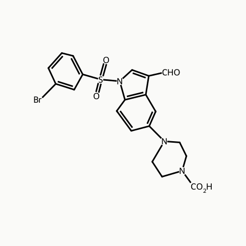 O=Cc1cn(S(=O)(=O)c2cccc(Br)c2)c2ccc(N3CCN(C(=O)O)CC3)cc12